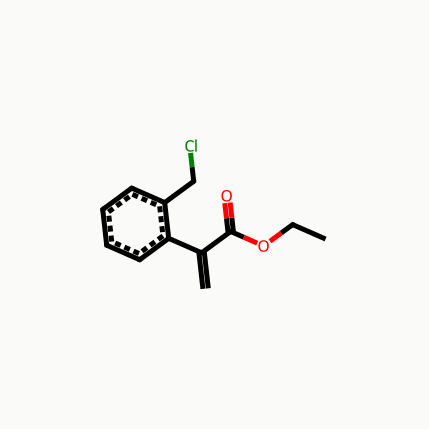 C=C(C(=O)OCC)c1ccccc1CCl